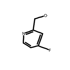 [O]Cc1cc(F)ccn1